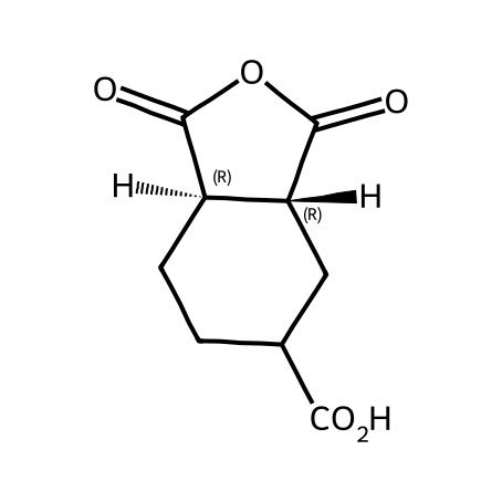 O=C(O)C1CC[C@H]2C(=O)OC(=O)[C@@H]2C1